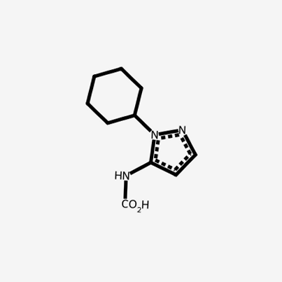 O=C(O)Nc1ccnn1C1CCCCC1